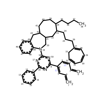 C=C/C=C\C(=C/C=C)c1nc(-c2ccccc2)nc(N2CC3CC(CCCC4=CC=CC=CC4)C(CCCC)CCCC3Cc3ccccc32)n1